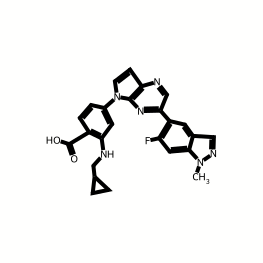 Cn1ncc2cc(-c3cnc4ccn(-c5ccc(C(=O)O)c(NCC6CC6)c5)c4n3)c(F)cc21